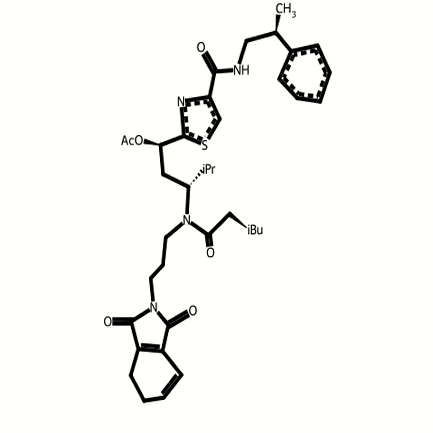 CC[C@H](C)CC(=O)N(CCCN1C(=O)C2=C(CCC=C2)C1=O)[C@H](C[C@@H](OC(C)=O)c1nc(C(=O)NC[C@@H](C)c2ccccc2)cs1)C(C)C